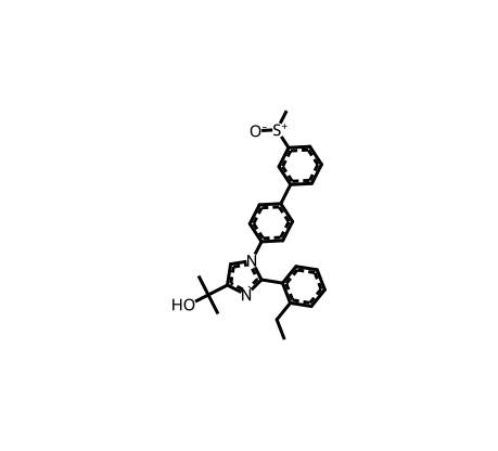 CCc1ccccc1-c1nc(C(C)(C)O)cn1-c1ccc(-c2cccc([S+](C)[O-])c2)cc1